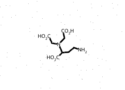 NCCC(C(=O)O)N(CC(=O)O)CC(=O)O